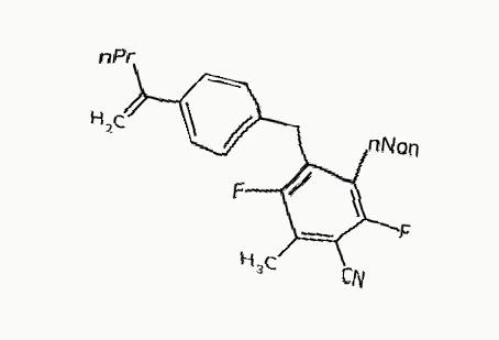 C=C(CCC)c1ccc(Cc2c(F)c(C)c(C#N)c(F)c2CCCCCCCCC)cc1